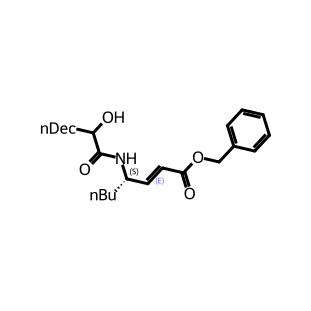 CCCCCCCCCCC(O)C(=O)N[C@H](/C=C/C(=O)OCc1ccccc1)CCCC